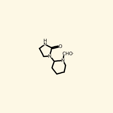 O=[C]N1CCCCC1N1CCNC1=O